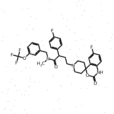 CN(Cc1cccc(OC(F)(F)F)c1)C(=O)C(CCN1CCC2(CC1)OC(=O)Nc1ccc(F)cc12)c1ccc(F)cc1